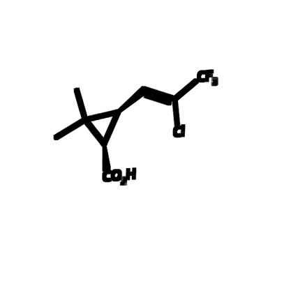 CC1(C)[C@H](C(=O)O)[C@@H]1C=C(Cl)C(F)(F)F